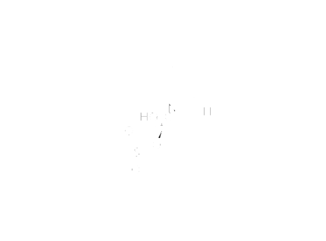 CS(=O)(=O)O[C@H]1CC2CC[C@@H](C1)N2C(=O)O